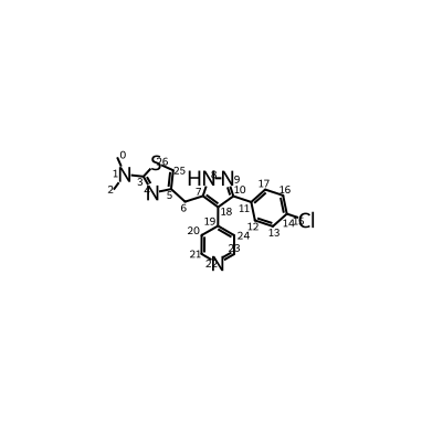 CN(C)c1nc(Cc2[nH]nc(-c3ccc(Cl)cc3)c2-c2ccncc2)cs1